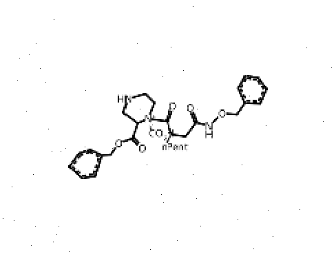 CCCCC[C@H](CC(=O)NOCc1ccccc1)C(=O)[N@+]1(C(=O)O)CCNCC1C(=O)OCc1ccccc1